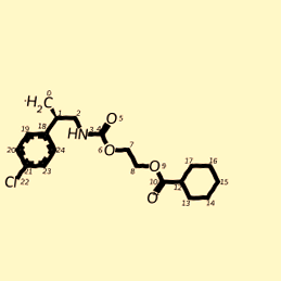 [CH2][C@@H](CNC(=O)OCCOC(=O)C1CCCCC1)c1ccc(Cl)cc1